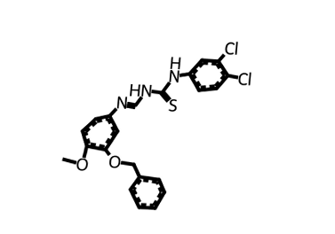 COc1ccc(N=CNC(=S)Nc2ccc(Cl)c(Cl)c2)cc1OCc1ccccc1